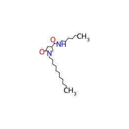 CCCCCCCCCCCN1CC(C(=O)NCCCCCC)CC1=O